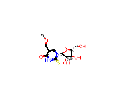 CCOCc1cn([C@@H]2O[C@H](CO)[C@@H](O)[C@H]2O)c(=S)[nH]c1=O